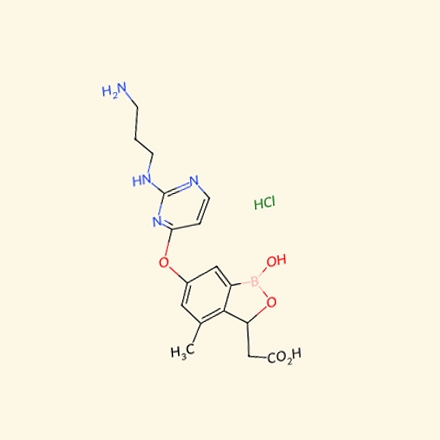 Cc1cc(Oc2ccnc(NCCCN)n2)cc2c1C(CC(=O)O)OB2O.Cl